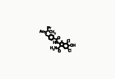 CC(=O)N(Cc1ccc(C(=O)Nc2sc3c(Cl)c(O)c(Cl)cc3c2C(N)=O)cc1)C(C)C(C)C